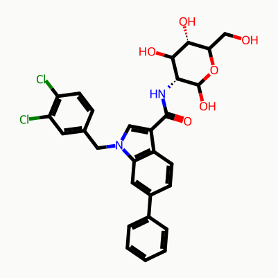 O=C(N[C@H]1C(O)OC(CO)[C@@H](O)C1O)c1cn(Cc2ccc(Cl)c(Cl)c2)c2cc(-c3ccccc3)ccc12